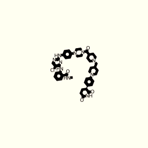 CNC(=O)c1ccccc1Nc1nc(Nc2ccc(N3CCN(C(=O)C4CCN(CC5CCN(c6ccc([C@@H]7CCC(=O)NC7=O)cc6)CC5)CC4)CC3)cc2)ncc1Cl